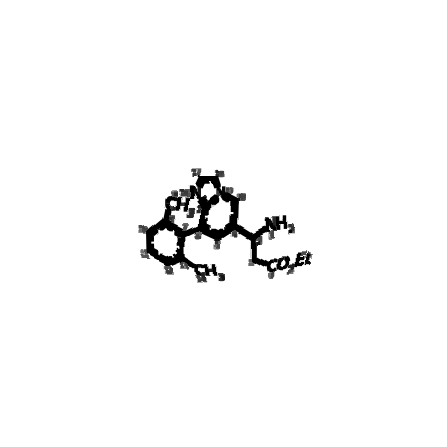 CCOC(=O)CC(N)c1cc(-c2c(C)cccc2C)c2nccn2c1